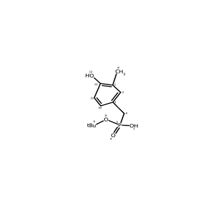 Cc1cc(CP(=O)(O)OC(C)(C)C)ccc1O